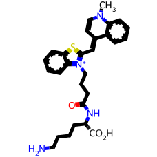 CN1C=CC(=Cc2sc3ccccc3[n+]2CCCC(=O)NC(CCCCN)C(=O)O)c2ccccc21